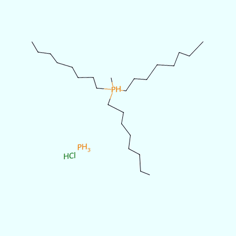 CCCCCCCC[PH](C)(CCCCCCCC)CCCCCCCC.Cl.P